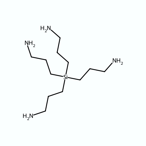 NCCC[Si](CCCN)(CCCN)CCCN